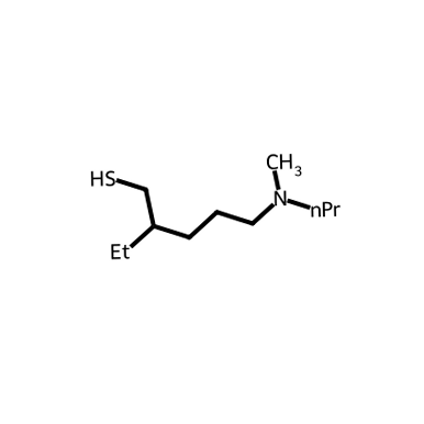 CCCN(C)CCCC(CC)CS